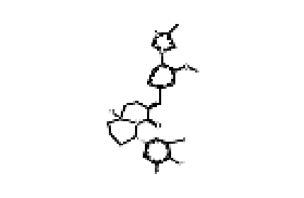 COc1cc(/C=C2\CC[C@H]3CCC[C@@H](c4cc(F)c(F)c(F)c4)N3C2=O)ccc1-n1cnc(C)c1